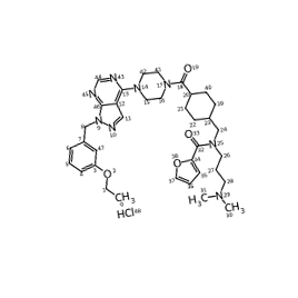 CCOc1cccc(Cn2ncc3c(N4CCN(C(=O)C5CCC(CN(CCCN(C)C)C(=O)c6ccco6)CC5)CC4)ncnc32)c1.Cl